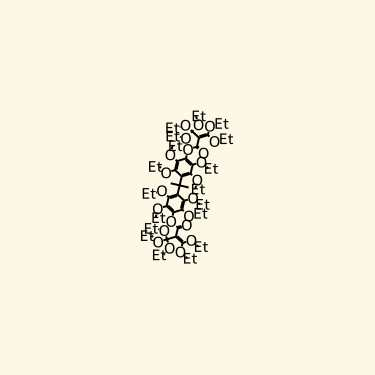 CCOC(OCC)=C(C(=O)Oc1c(OCC)c(OCC)c(C(C)(C)c2c(OCC)c(OCC)c(OC(=O)C(=C(OCC)OCC)C(OCC)(OCC)OCC)c(OCC)c2OCC)c(OCC)c1OCC)C(OCC)(OCC)OCC